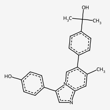 Cc1cc2ncc(-c3ccc(O)cc3)n2cc1-c1ccc(C(C)(C)O)cc1